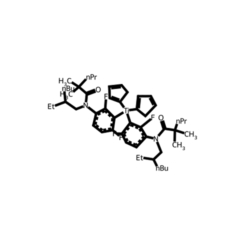 CCCCC(CC)CN(C(=O)C(C)(C)CCC)c1ccc(F)[c]([Ti]([C]2=CC=CC2)([C]2=CC=CC2)[c]2c(F)ccc(N(CC(CC)CCCC)C(=O)C(C)(C)CCC)c2F)c1F